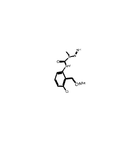 COCc1c(Cl)cccc1NC(=O)N(C)N=N